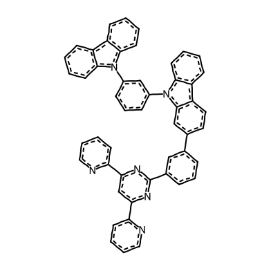 c1ccc(-c2cc(-c3ccccn3)nc(-c3cccc(-c4ccc5c6ccccc6n(-c6cccc(-n7c8ccccc8c8ccccc87)c6)c5c4)c3)n2)nc1